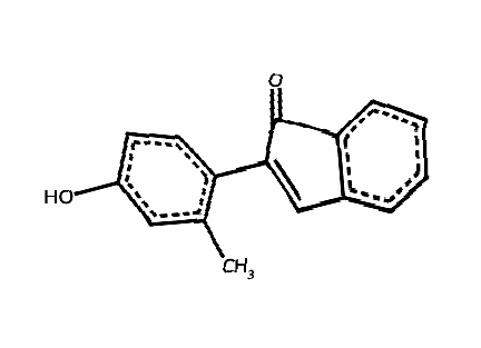 Cc1cc(O)ccc1C1=Cc2ccccc2C1=O